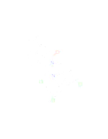 O=C(C1Cc2cccc3cccc1c23)N1CCN(c2ccc(Cl)cc2Cl)C(c2ccc(Cl)cc2)C1